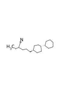 CCC(C#N)CCC[C@H]1CC[C@H](C2CCCCC2)CC1